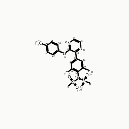 CS(=O)(=O)N(c1c(F)cc(-c2nccnc2Oc2ccc(C(F)(F)F)cc2)cc1F)S(C)(=O)=O